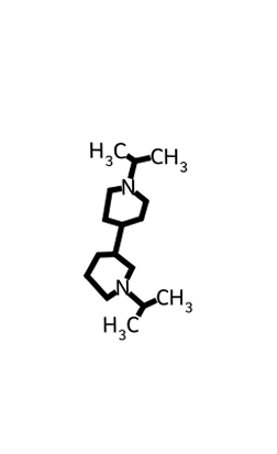 CC(C)N1CCC(C2CCCN(C(C)C)C2)CC1